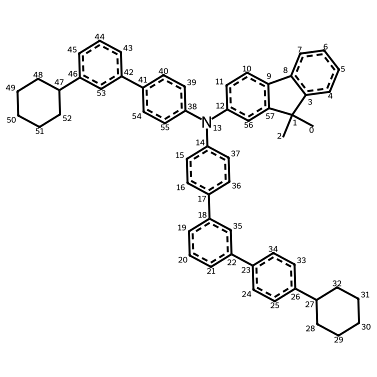 CC1(C)c2ccccc2-c2ccc(N(c3ccc(-c4cccc(-c5ccc(C6CCCCC6)cc5)c4)cc3)c3ccc(-c4cccc(C5CCCCC5)c4)cc3)cc21